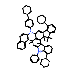 CC12C=C3N(c4ccccc4)c4c(C5CCCCC5)cccc4C3(C)C3=C1C(C)(C=C1c4c(C5CCCCC5)cccc4C(C)(C)C13C)N(c1ccc(C3CCCCC3)cc1)c1ccc3ccccc3c12